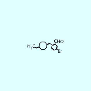 CC=C1CCCC(=Cc2ccc(Br)cc2C=O)CCC1